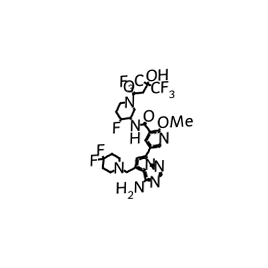 COc1ncc(-c2cc(CN3CCC(F)(F)CC3)c3c(N)ncnn23)cc1C(=O)NC1CN(C(=O)CC(O)(C(F)(F)F)C(F)(F)F)CCC1F